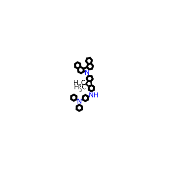 CC1(C)c2cc(Nc3ccc(N(c4ccccc4)c4ccccc4)cc3)ccc2-c2ccc(-n3c4ccc5ccccc5c4c4c5ccccc5ccc43)cc21